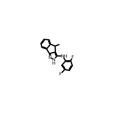 CC1c2ccccc2-c2n[nH]c(Nc3cc(F)ccc3F)c21